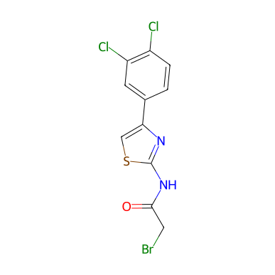 O=C(CBr)Nc1nc(-c2ccc(Cl)c(Cl)c2)cs1